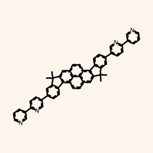 CC1(C)c2cc(-c3ccc(-c4cccnc4)nc3)ccc2-c2c1cc1ccc3c4c(cc5ccc2c1c53)C(C)(C)c1cc(-c2ccc(-c3cccnc3)nc2)ccc1-4